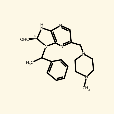 CC(c1ccccc1)N1c2nc(CN3CCN(C)CC3)cnc2N[C@@H]1C=O